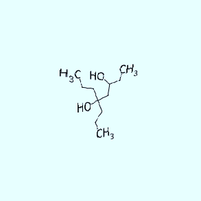 CCCC(O)(CCC)CC(O)CC